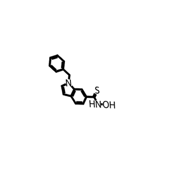 ONC(=S)c1ccc2ccn(Cc3ccccc3)c2c1